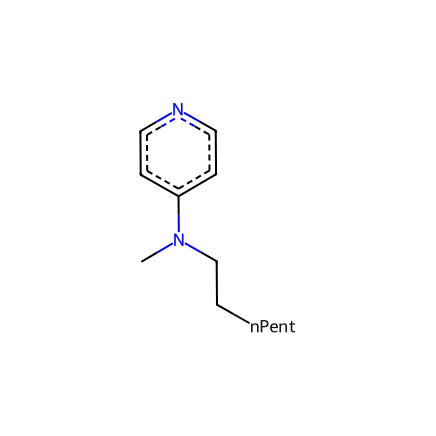 CCCCCCCN(C)c1ccncc1